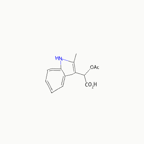 CC(=O)OC(C(=O)O)c1c(C)[nH]c2ccccc12